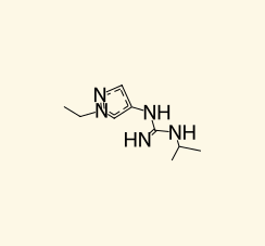 CCn1cc(NC(=N)NC(C)C)cn1